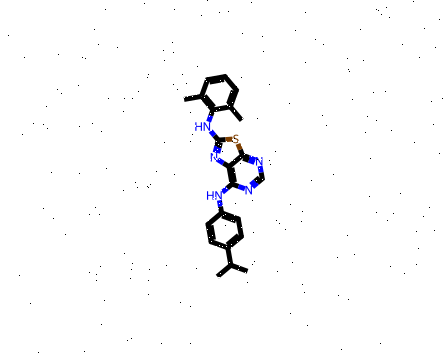 Cc1cccc(C)c1Nc1nc2c(Nc3ccc(C(C)C)cc3)ncnc2s1